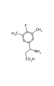 Cc1cc(C(N)CC(=O)O)cc(C)c1F